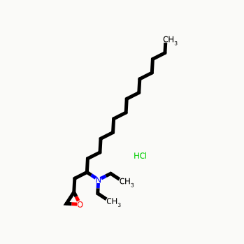 CCCCCCCCCCCCCC(CC1CO1)N(CC)CC.Cl